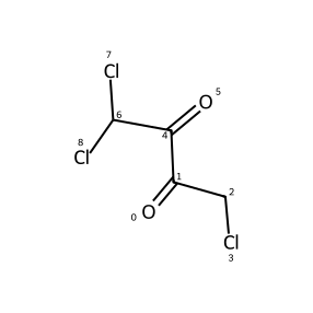 O=C(CCl)C(=O)C(Cl)Cl